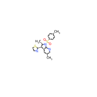 Cc1ccc(S(=O)(=O)n2c(C)c(-c3nccs3)c3cc(C)cnc32)cc1